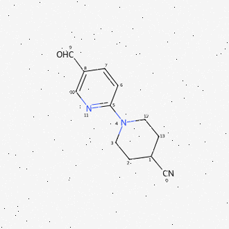 N#CC1CCN(c2ccc(C=O)cn2)CC1